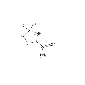 CC1(C)CCC(C(N)=O)N1